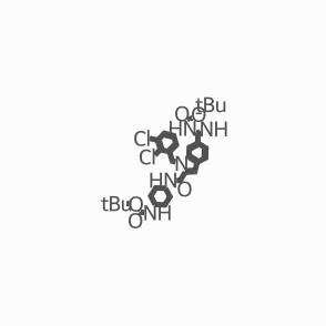 CC(C)(C)OC(=O)NC(=N)c1ccc2cc(C(=O)NC3CCC(NC(=O)OC(C)(C)C)CC3)n(Cc3cccc(Cl)c3Cl)c2c1